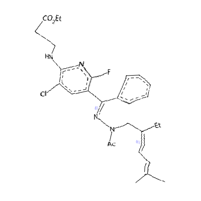 CCOC(=O)CCNc1nc(F)c(/C(=N/N(C/C(=C/C=C(C)C)CC)C(C)=O)c2ccccc2)cc1Cl